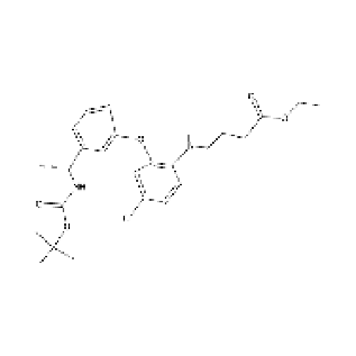 CCOC(=O)CCCNc1ccc(Cl)cc1Oc1cccc([C@@H](C)NC(=O)OC(C)(C)C)c1